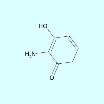 NC1=C(O)C=CCC1=O